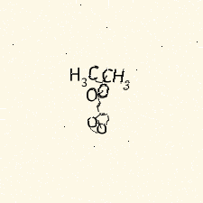 CC[C@@H](C)OC(=O)/C=C/C1=CCCC2(C1)OCCO2